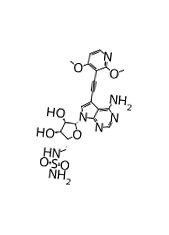 COc1ccnc(OC)c1C#Cc1cn([C@@H]2O[C@H](CNS(N)(=O)=O)[C@@H](O)[C@H]2O)c2ncnc(N)c12